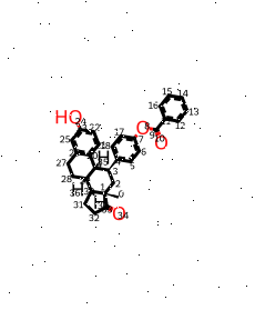 C[C@]12C[C@H](c3ccc(OC(=O)c4ccccc4)cc3)[C@@H]3c4ccc(O)cc4CC[C@H]3[C@@H]1CCC2=O